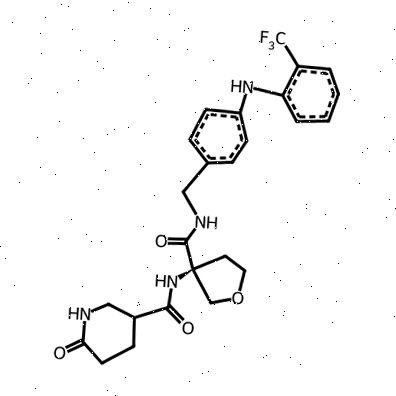 O=C1CCC(C(=O)N[C@@]2(C(=O)NCc3ccc(Nc4ccccc4C(F)(F)F)cc3)CCOC2)CN1